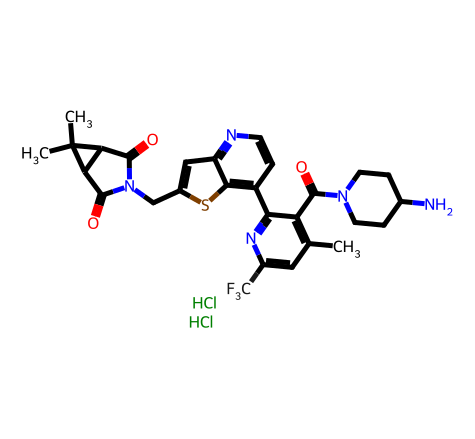 Cc1cc(C(F)(F)F)nc(-c2ccnc3cc(CN4C(=O)C5C(C4=O)C5(C)C)sc23)c1C(=O)N1CCC(N)CC1.Cl.Cl